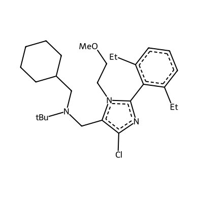 CCc1cccc(CC)c1-c1nc(Cl)c(CN(CC2CCCCC2)C(C)(C)C)n1CCOC